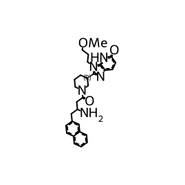 COCCCn1c([C@@H]2CCCN(C(=O)CC(N)Cc3ccc4ccccc4c3)C2)nc2ccc(=O)[nH]c21